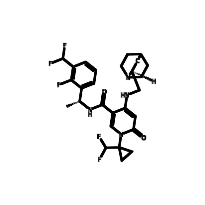 C[C@@H](NC(=O)c1cn(C2(C(F)F)CC2)c(=O)cc1NC[C@@H]1CC2CCN1CC2)c1cccc(C(F)F)c1F